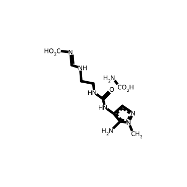 Cn1ncc(NC(=O)NCCNC=NC(=O)O)c1N.NC(=O)O